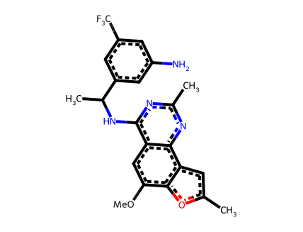 COc1cc2c(NC(C)c3cc(N)cc(C(F)(F)F)c3)nc(C)nc2c2cc(C)oc12